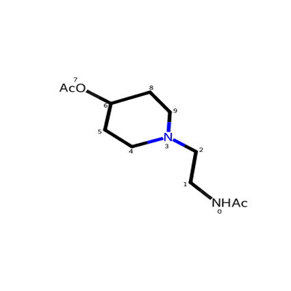 CC(=O)NCCN1CCC(OC(C)=O)CC1